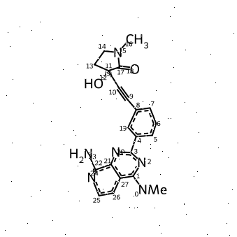 CNc1nc(-c2cccc(C#C[C@@]3(O)CCN(C)C3=O)c2)nc2c(N)nccc12